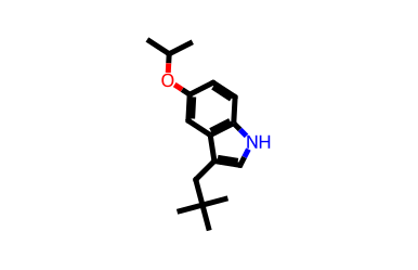 CC(C)Oc1ccc2[nH]cc(CC(C)(C)C)c2c1